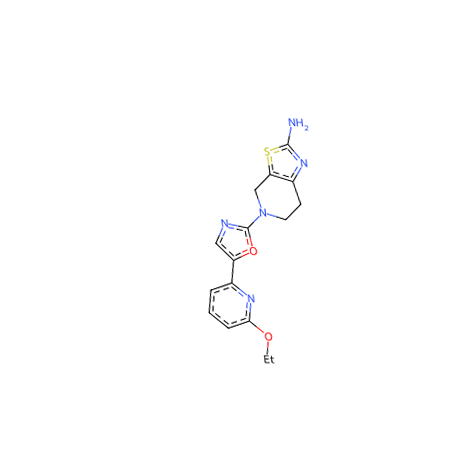 CCOc1cccc(-c2cnc(N3CCc4nc(N)sc4C3)o2)n1